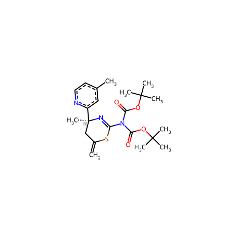 C=C1C[C@@](C)(c2cc(C)ccn2)N=C(N(C(=O)OC(C)(C)C)C(=O)OC(C)(C)C)S1